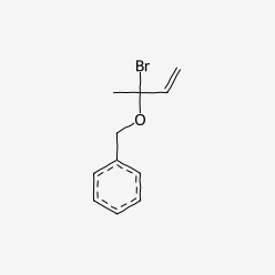 C=CC(C)(Br)OCc1ccccc1